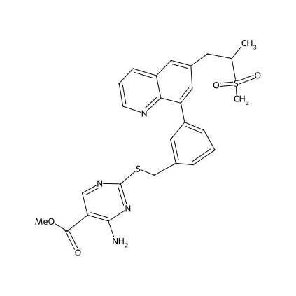 COC(=O)c1cnc(SCc2cccc(-c3cc(CC(C)S(C)(=O)=O)cc4cccnc34)c2)nc1N